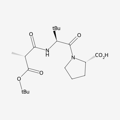 C[C@H](C(=O)N[C@H](C(=O)N1CCC[C@H]1C(=O)O)C(C)(C)C)C(=O)OC(C)(C)C